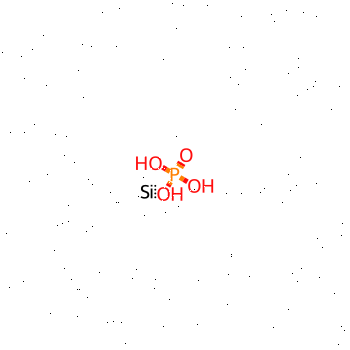 O=P(O)(O)O.[Si]